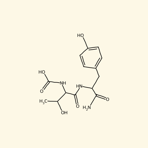 CC(O)C(NC(=O)O)C(=O)NC(Cc1ccc(O)cc1)C(N)=O